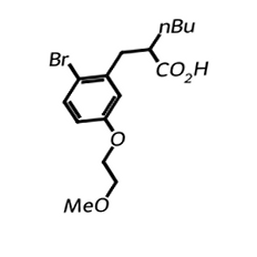 CCCCC(Cc1cc(OCCOC)ccc1Br)C(=O)O